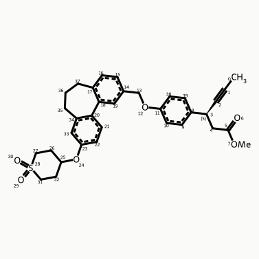 CC#C[C@@H](CC(=O)OC)c1ccc(OCc2ccc3c(c2)-c2ccc(OC4CCS(=O)(=O)CC4)cc2CCC3)cc1